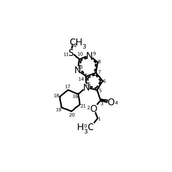 CCOC(=O)c1cc2cnc(SC)nc2n1C1CCCCC1